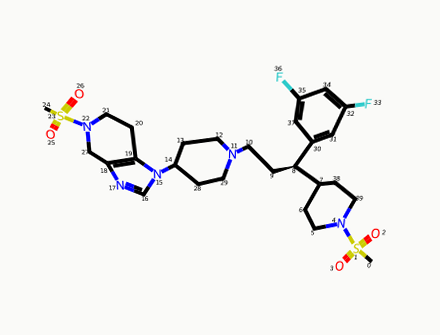 CS(=O)(=O)N1CCC([C@@H](CCN2CCC(n3cnc4c3CCN(S(C)(=O)=O)C4)CC2)c2cc(F)cc(F)c2)CC1